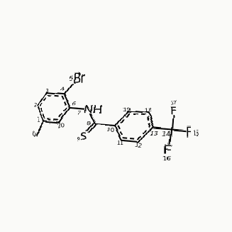 Cc1ccc(Br)c(NC(=S)c2ccc(C(F)(F)F)cc2)c1